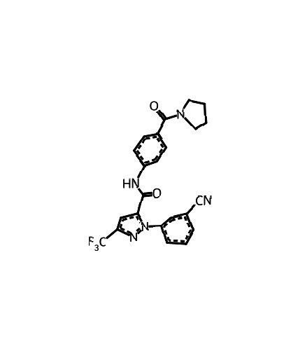 N#Cc1cccc(-n2nc(C(F)(F)F)cc2C(=O)Nc2ccc(C(=O)N3CCCC3)cc2)c1